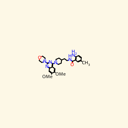 COc1cc2nc(N3CCOCC3)nc(N3CCC(CCNC(=O)c4cc(C)ccc4N)CC3)c2cc1OC